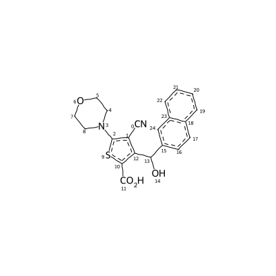 N#Cc1c(N2CCOCC2)sc(C(=O)O)c1C(O)c1ccc2ccccc2c1